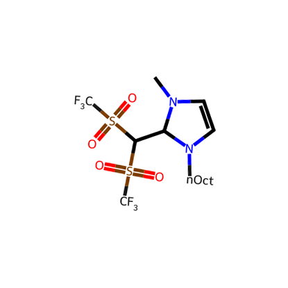 CCCCCCCCN1C=CN(C)C1C(S(=O)(=O)C(F)(F)F)S(=O)(=O)C(F)(F)F